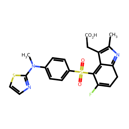 CC1=C(CC(=O)O)C2=C(S(=O)(=O)c3ccc(N(C)c4nccs4)cc3)C(F)=CCC2=N1